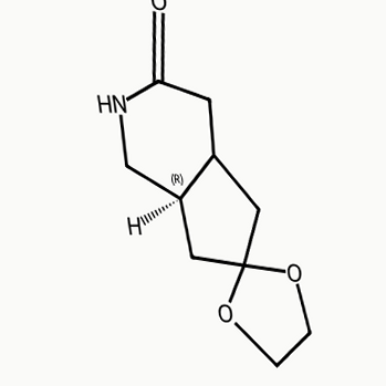 O=C1CC2CC3(C[C@H]2CN1)OCCO3